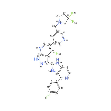 Fc1ccc(-c2nccc3[nH]c(-c4n[nH]c5ncc(-c6cncc(CN7CCC(F)(F)C7)c6)c(F)c45)nc23)cc1